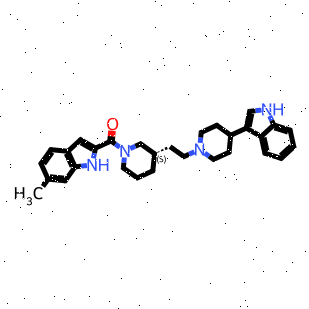 Cc1ccc2cc(C(=O)N3CCC[C@@H](CCN4CCC(c5c[nH]c6ccccc56)CC4)C3)[nH]c2c1